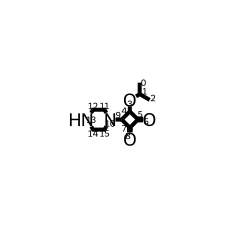 CC(C)OC1C(=O)C(=O)C1N1CCNCC1